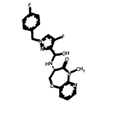 CN1C(=O)[C@@H](NC(O)c2nn(Cc3ccc(F)cc3)cc2F)COc2cccnc21